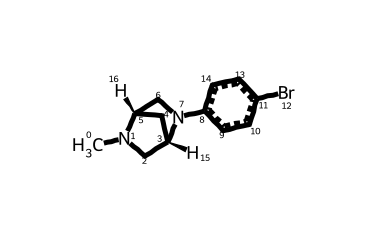 CN1C[C@@H]2C[C@H]1CN2c1ccc(Br)cc1